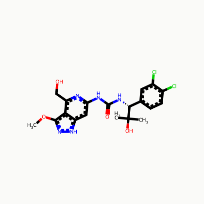 COc1n[nH]c2cc(NC(=O)N[C@H](c3ccc(Cl)c(Cl)c3)C(C)(C)O)nc(CO)c12